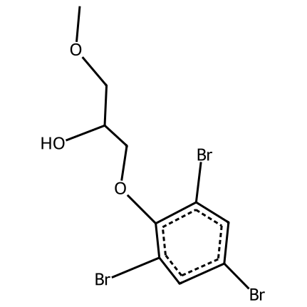 COCC(O)COc1c(Br)cc(Br)cc1Br